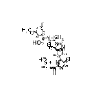 COc1cc(F)cc([C@@H](CO)NC(=O)C(C)n2cnn3cc(-c4nc(N[C@H]5CC[C@@H](O)C5)ncc4Cl)cc3c2=O)c1